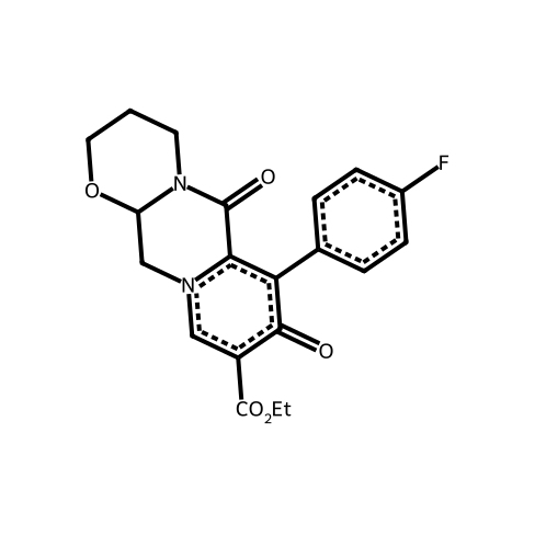 CCOC(=O)c1cn2c(c(-c3ccc(F)cc3)c1=O)C(=O)N1CCCOC1C2